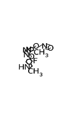 Cc1cc2c(F)c(Oc3ncnn4cc(OCCN5CCOCC5)c(C)c34)ccc2[nH]1